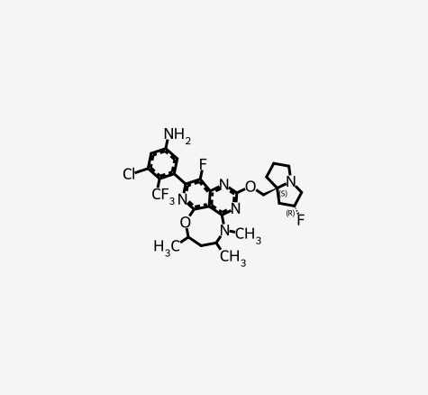 CC1CC(C)N(C)c2nc(OC[C@@]34CCCN3C[C@H](F)C4)nc3c(F)c(-c4cc(N)cc(Cl)c4C(F)(F)F)nc(c23)O1